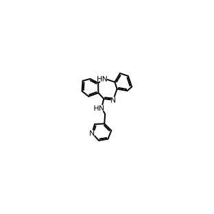 c1cncc(CNC2=Nc3ccccc3Nc3ccccc32)c1